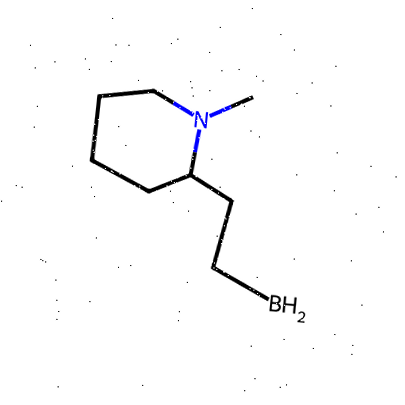 BCCC1CCCCN1C